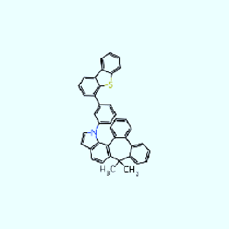 CC1(C)c2ccccc2-c2ccccc2-c2c1ccc1ccn(-c3cccc(-c4cccc5c4sc4ccccc45)c3)c21